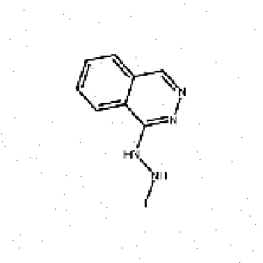 INNc1nncc2ccccc12